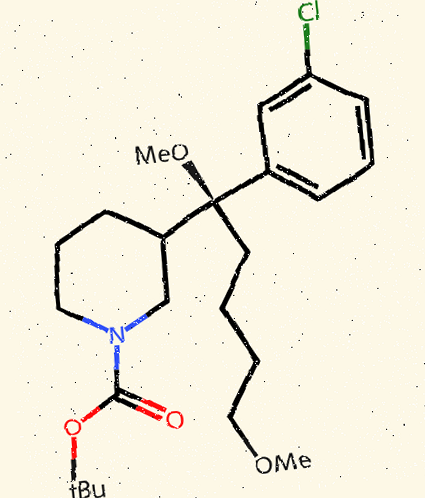 COCCCC[C@@](OC)(c1cccc(Cl)c1)C1CCCN(C(=O)OC(C)(C)C)C1